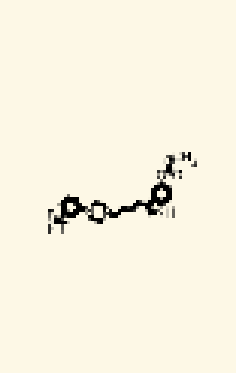 COC(=O)Oc1ccc2[nH]cc(CCCCN3CCN(c4cccc(C(F)(F)F)c4)CC3)c2c1